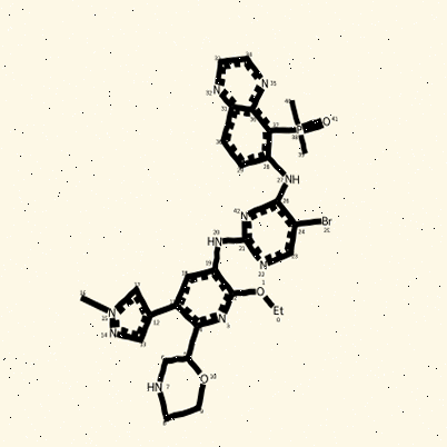 CCOc1nc(C2CNCCO2)c(-c2cnn(C)c2)cc1Nc1ncc(Br)c(Nc2ccc3nccnc3c2P(C)(C)=O)n1